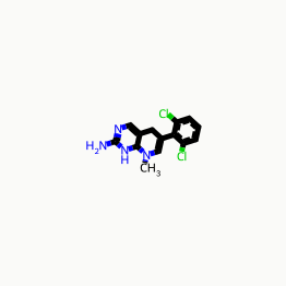 CN1C=C(c2c(Cl)cccc2Cl)CC2=CN=C(N)NC21